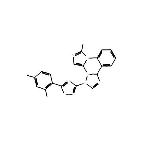 Fc1ccc(-c2nc(N3C=NC4c5ccccc5-n5c(cnc5F)N43)no2)c(F)c1